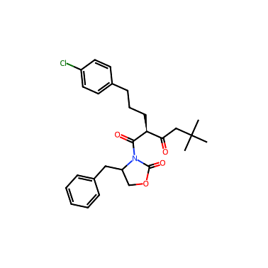 CC(C)(C)CC(=O)[C@H](CCCc1ccc(Cl)cc1)C(=O)N1C(=O)OCC1Cc1ccccc1